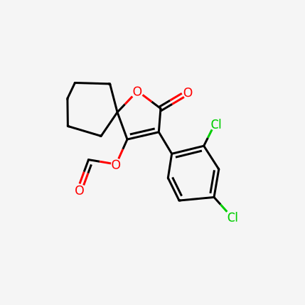 O=COC1=C(c2ccc(Cl)cc2Cl)C(=O)OC12CCCCC2